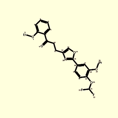 CCOc1ccccc1C(=O)CCc1coc(-c2ccc(OC(F)F)c(OC(C)C)c2)n1